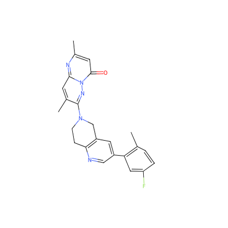 Cc1cc(=O)n2nc(N3CCc4ncc(-c5cc(F)ccc5C)cc4C3)c(C)cc2n1